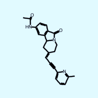 CC(=O)Nc1ccc2c(c1)C1C/C(=C/C#Cc3cccc(C)n3)CCN1C2=O